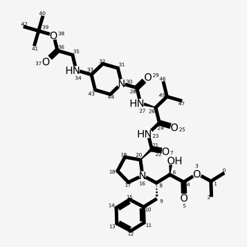 CC(C)OC(=O)[C@H](O)[C@H](Cc1ccccc1)N1CCC[C@H]1C(=O)NC(=O)[C@@H](NC(=O)N1CCC(NCC(=O)OC(C)(C)C)CC1)C(C)C